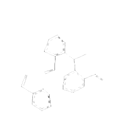 C=Cc1ccccc1.C=Cc1ccccc1C(C)c1ccccc1C=C